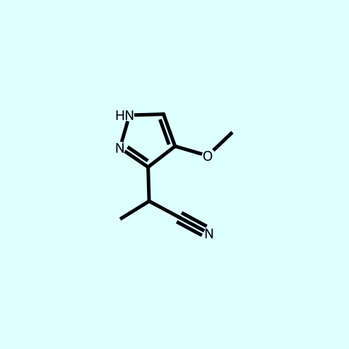 COc1c[nH]nc1C(C)C#N